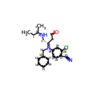 CCC(C)NC[C@H](CC=O)N(Cc1ccccc1)c1ccc(C#N)c(Cl)c1